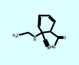 CCNC1(C#N)C=CC=CC1C(=O)O